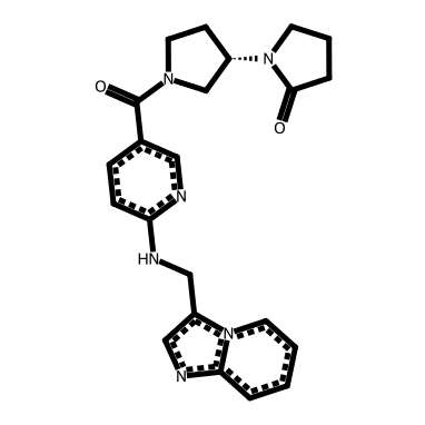 O=C(c1ccc(NCc2cnc3ccccn23)nc1)N1CC[C@H](N2CCCC2=O)C1